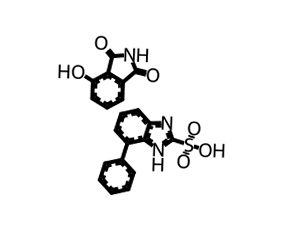 O=C1NC(=O)c2c(O)cccc21.O=S(=O)(O)c1nc2cccc(-c3ccccc3)c2[nH]1